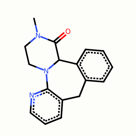 CN1CCN2c3ncccc3Cc3ccccc3C2C1=O